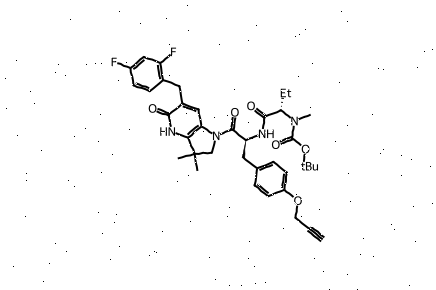 C#CCOc1ccc(C[C@H](NC(=O)[C@H](CC)N(C)C(=O)OC(C)(C)C)C(=O)N2CC(C)(C)c3[nH]c(=O)c(Cc4ccc(F)cc4F)cc32)cc1